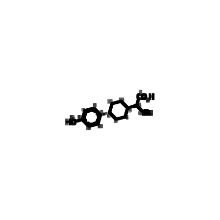 CC(C)(C)C(C(=O)O)[C@H]1CC[C@H](c2ccc(O)cc2)CC1